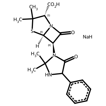 CC1(C)S[C@@H]2[C@H](N3C(=O)C(c4ccccc4)NC3(C)C)C(=O)N2[C@H]1C(=O)O.[NaH]